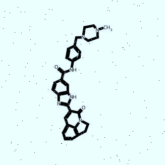 CN1CCN(Cc2ccc(NC(=O)c3ccc4nc(-c5cc6cccc7c6n(c5=O)CC7)[nH]c4c3)cc2)CC1